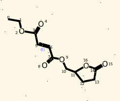 CCOC(=O)/C=C/C(=O)OCC1CCC(=O)O1